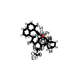 CCS(=O)(=O)c1nc2c3c(nc(-c4cccc5ccc(F)c(C#C[Si](C(C)C)(C(C)C)C(C)C)c45)c(F)c3n1)[C@H](O)C[C@@H]1[C@@H]3CC[C@H](CN21)N3C(=O)OC(C)(C)C